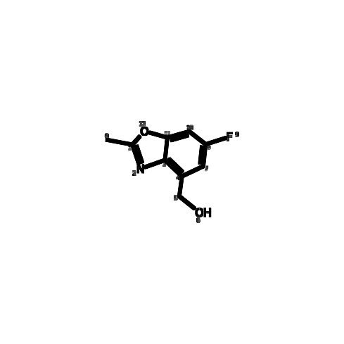 Cc1nc2c(CO)cc(F)cc2o1